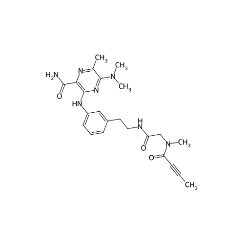 CC#CC(=O)N(C)CC(=O)NCCc1cccc(Nc2nc(N(C)C)c(C)nc2C(N)=O)c1